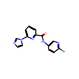 O=C(Nc1ccc(Br)nc1)c1cccc(-n2ccnc2)n1